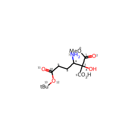 COC(=O)C(O)(C(=O)O)C(N)CCC(=O)OC(C)(C)C